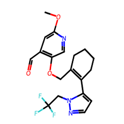 COc1cc(C=O)c(OCC2=C(c3ccnn3CC(F)(F)F)CCCC2)cn1